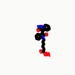 O=C(O)CCCCCN1C(=O)/C(=C2/C(=O)Nc3ccccc32)c2ccccc21